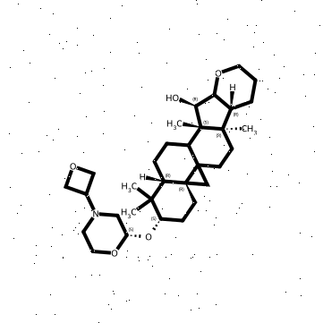 CC1(C)[C@@H](O[C@H]2CN(C3COC3)CCO2)CC[C@]23CC24CC[C@]2(C)[C@H]5CCCOC5[C@H](O)[C@@]2(C)C4CC[C@@H]13